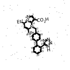 CCCC1=CC(CC)n2ncc(C(=O)O)c2N1Cc1ccc(-c2ccccc2-c2nnn[nH]2)cc1